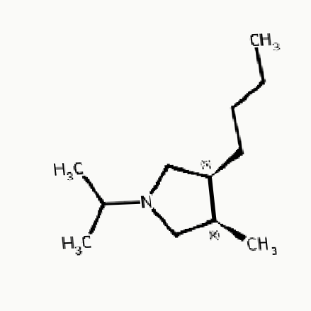 CCCC[C@@H]1CN(C(C)C)C[C@@H]1C